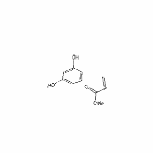 C=CC(=O)OC.Oc1cccc(O)c1